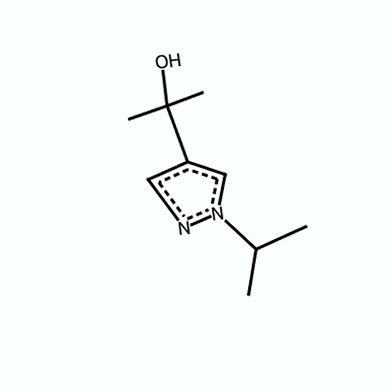 CC(C)n1cc(C(C)(C)O)cn1